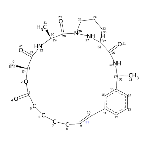 CC(C)[C@@H]1OC(=O)CCCC/C=C/c2cccc(c2)[C@@H](C)NC(=O)[C@@H]2CCCN(N2)C(=O)[C@H](C)NC1=O